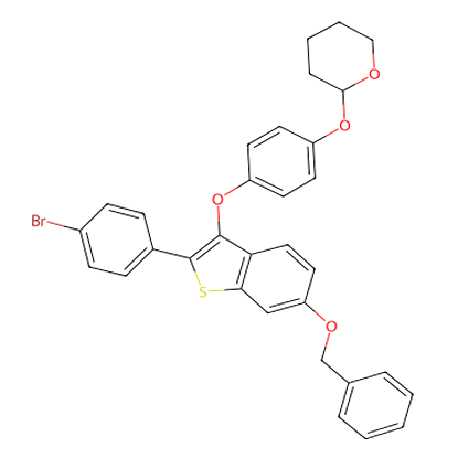 Brc1ccc(-c2sc3cc(OCc4ccccc4)ccc3c2Oc2ccc(OC3CCCCO3)cc2)cc1